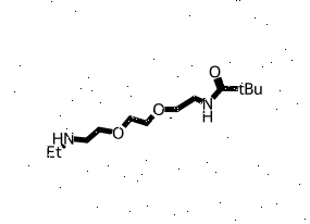 CCNCCOCCOCCNC(=O)C(C)(C)C